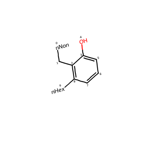 CCCCCCCCCCc1c(O)cccc1CCCCCC